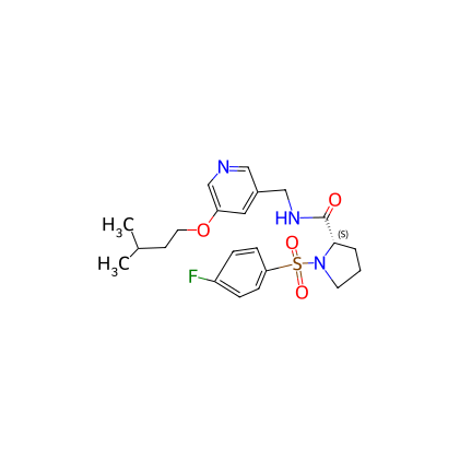 CC(C)CCOc1cncc(CNC(=O)[C@@H]2CCCN2S(=O)(=O)c2ccc(F)cc2)c1